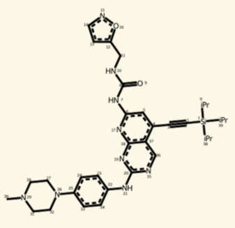 CC(C)[Si](C#Cc1cc(NC(=O)NCc2ccno2)nc2nc(Nc3ccc(N4CCN(C)CC4)cc3)ncc12)(C(C)C)C(C)C